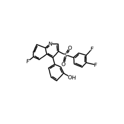 O=S(=O)(c1ccc(F)c(F)c1)c1cnc2ccc(F)cc2c1-c1cccc(O)c1